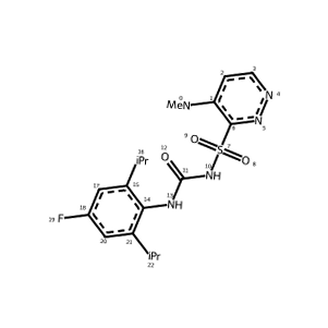 CNc1ccnnc1S(=O)(=O)NC(=O)Nc1c(C(C)C)cc(F)cc1C(C)C